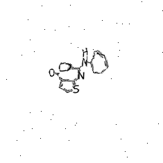 O=c1oc(Nc2ccccc2)nc2sccc12